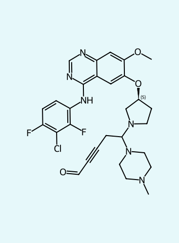 COc1cc2ncnc(Nc3ccc(F)c(Cl)c3F)c2cc1O[C@H]1CCN(C(CC#CC=O)N2CCN(C)CC2)C1